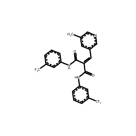 Cc1cncc(C=C(C(=O)Nc2cccc(C(F)(F)F)c2)C(=O)Nc2cccc(C(F)(F)F)c2)c1